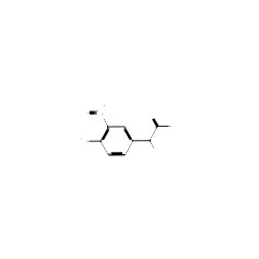 CC(=O)C(C)c1ccc(N)c([N+](=O)[O-])c1